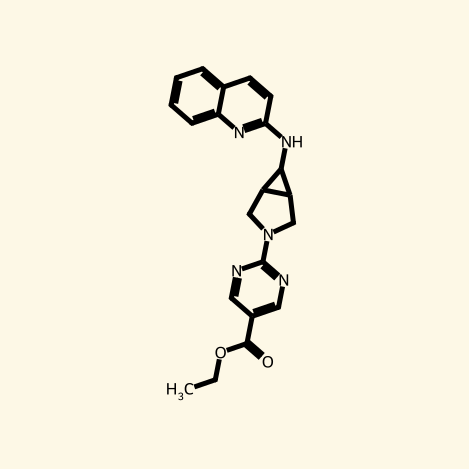 CCOC(=O)c1cnc(N2CC3C(C2)C3Nc2ccc3ccccc3n2)nc1